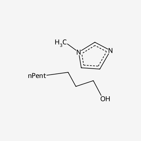 CCCCCCCCO.Cn1ccnc1